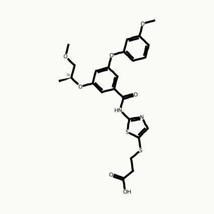 COC[C@H](C)Oc1cc(Oc2cccc(OC)c2)cc(C(=O)Nc2ncc(SCCC(=O)O)s2)c1